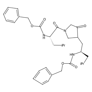 CC(C)C[C@H](CC1CN(C(=O)[C@H](CC(C)C)NC(=O)OCc2ccccc2)CC1=O)NC(=O)OCc1ccccc1